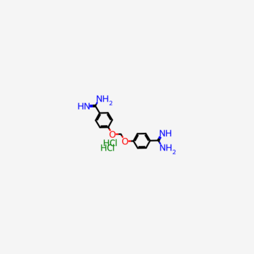 Cl.Cl.N=C(N)c1ccc(OCOc2ccc(C(=N)N)cc2)cc1